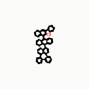 c1ccc2c(c1)-c1ccccc1-c1ccc(-c3c4ccccc4c(-c4c5ccccc5cc5c4oc4ccccc45)c4ccccc34)c3cccc-2c13